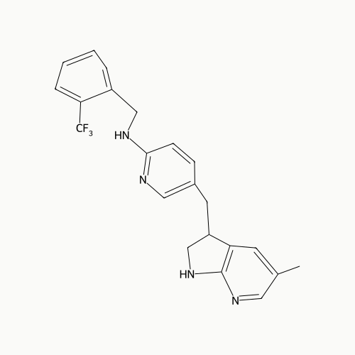 Cc1cnc2c(c1)C(Cc1ccc(NCc3ccccc3C(F)(F)F)nc1)CN2